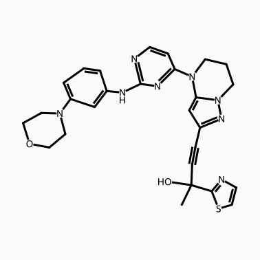 CC(O)(C#Cc1cc2n(n1)CCCN2c1ccnc(Nc2cccc(N3CCOCC3)c2)n1)c1nccs1